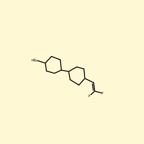 CCCCC1CCC(C2CCC(C=C(F)F)CC2)CC1